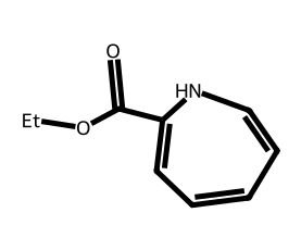 CCOC(=O)C1=CC=CC=CN1